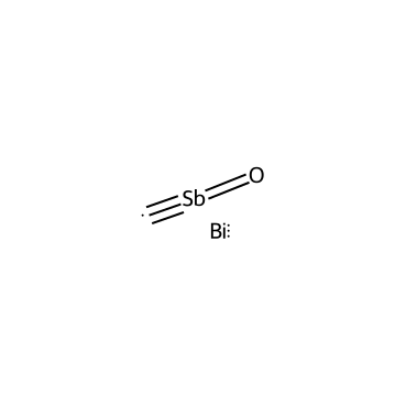 [Bi].[C]#[Sb]=[O]